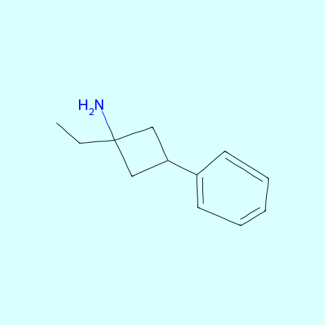 CCC1(N)CC(c2ccccc2)C1